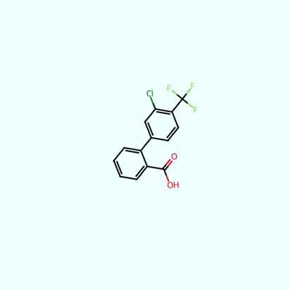 O=C(O)c1ccccc1-c1ccc(C(F)(F)F)c(Cl)c1